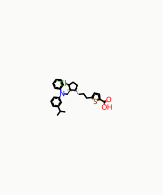 CC(C)c1cccc(N(C[C@H]2C(Cl)CC[C@@H]2CCCc2ccc(C(=O)O)s2)c2ccccc2)c1